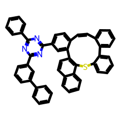 C1=C\c2ccc(-c3nc(-c4ccccc4)nc(-c4cccc(-c5ccccc5)c4)n3)cc2-c2ccc3ccccc3c2Sc2ccccc2-c2ccccc2/1